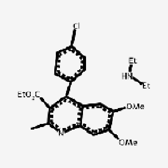 CCNCC.CCOC(=O)c1c(C)nc2cc(OC)c(OC)cc2c1-c1ccc(Cl)cc1